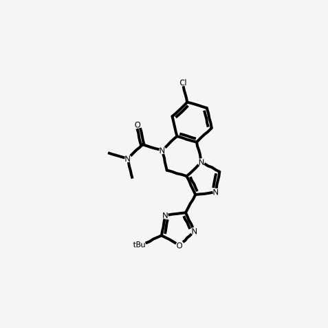 CN(C)C(=O)N1Cc2c(-c3noc(C(C)(C)C)n3)ncn2-c2ccc(Cl)cc21